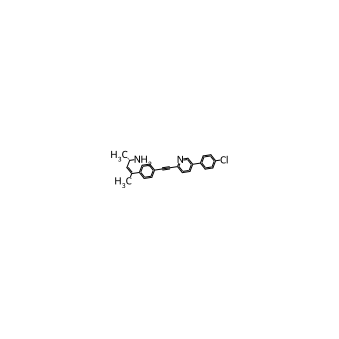 C/C(=C/[C@H](C)N)c1ccc(C#Cc2ccc(-c3ccc(Cl)cc3)cn2)cc1